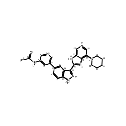 CC(C)C(=O)Nc1cncc(-c2ccc3[nH]nc(-c4nc5c(N6CCCCC6)cncc5[nH]4)c3c2)c1